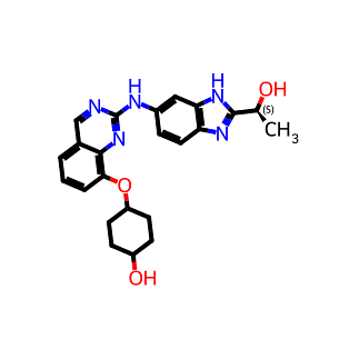 C[C@H](O)c1nc2ccc(Nc3ncc4cccc(OC5CCC(O)CC5)c4n3)cc2[nH]1